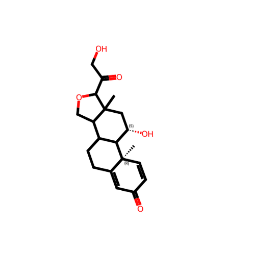 CC12C[C@H](O)C3C(CCC4=CC(=O)C=C[C@@]43C)C1COC2C(=O)CO